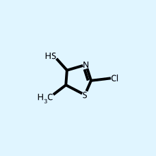 CC1SC(Cl)=NC1S